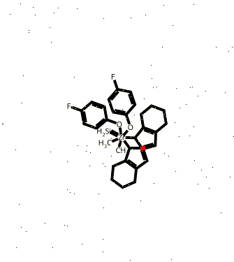 [CH3][Zr]([CH3])(=[SiH2])([O]c1ccc(F)cc1)([O]c1ccc(F)cc1)([CH]1C=CC2=C1CCCC2)[CH]1C=CC2=C1CCCC2